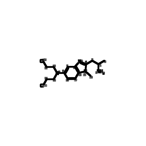 CC(N)Cc1nc2cc(N(CCCl)CCCl)ccc2n1C